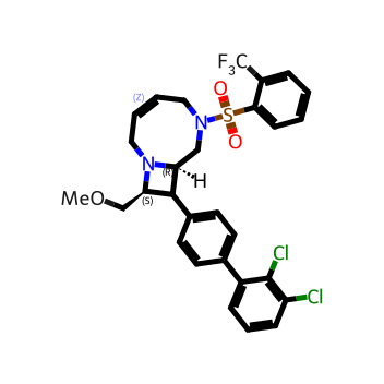 COC[C@@H]1C(c2ccc(-c3cccc(Cl)c3Cl)cc2)[C@@H]2CN(S(=O)(=O)c3ccccc3C(F)(F)F)C/C=C\CN12